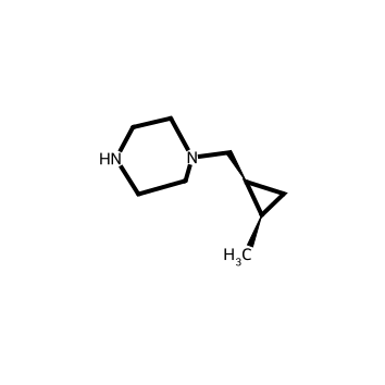 C[C@@H]1C[C@@H]1CN1CCNCC1